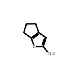 O=Cc1cc2c(o1)CCC2